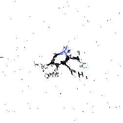 COc1c(C)cnc(CCl)c1C.[N]